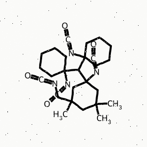 CC1(C)CC(C)(CN=C=O)CC(N=C=O)(C(C2(N=C=O)CCCCC2)C2(N=C=O)CCCCC2)C1